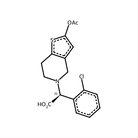 CC(=O)Oc1cc2c(s1)CCN([C@H](C(=O)O)c1ccccc1Cl)C2